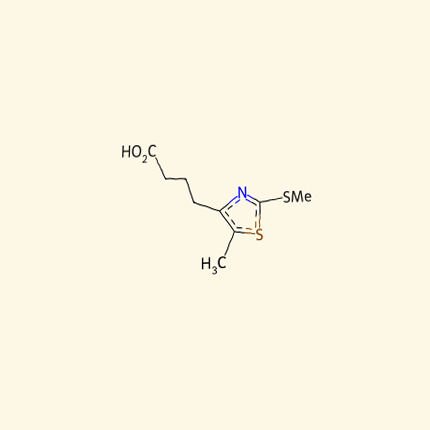 [CH2]Sc1nc(CCCC(=O)O)c(C)s1